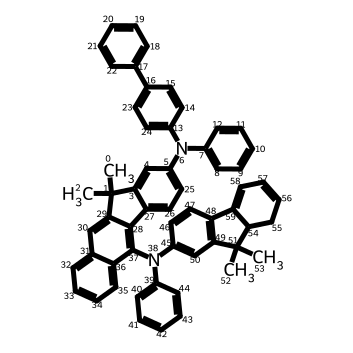 CC1(C)c2cc(N(c3ccccc3)c3ccc(-c4ccccc4)cc3)ccc2-c2c1cc1ccccc1c2N(c1ccccc1)c1ccc2c(c1)C(C)(C)C1CC=CC=C21